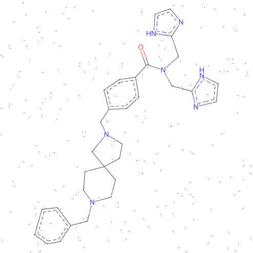 O=C(c1ccc(CN2CCC3(CCN(Cc4ccccc4)CC3)C2)cc1)N(Cc1ncc[nH]1)Cc1ncc[nH]1